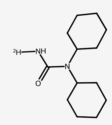 [2H]NC(=O)N(C1CCCCC1)C1CCCCC1